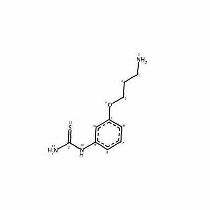 NCCCOc1cccc(NC(N)=S)c1